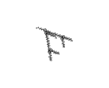 CCCCCCCOC(C=CCCCCCCCCCCCC(OCCCCCCC)OCCCCCCC)OC(C=CCCCCCCCCCCCC(OCCCCCCC)OCCCCCCC)OCCCCCCC